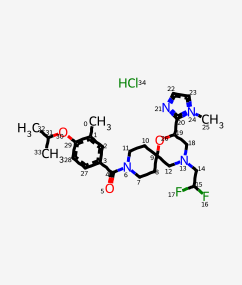 Cc1cc(C(=O)N2CCC3(CC2)CN(CC(F)F)CC(c2nccn2C)O3)ccc1OC(C)C.Cl